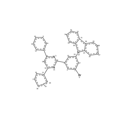 Brc1cc(-c2nc(-c3ccccc3)cc(-c3ccccc3)n2)cc(-n2c3ccccc3c3ccccc32)c1